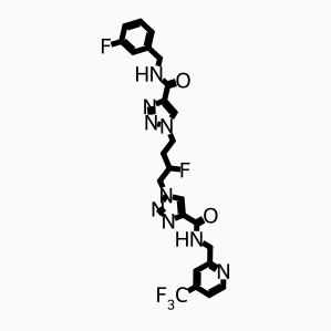 O=C(NCc1cccc(F)c1)c1cn(CCC(F)Cn2cc(C(=O)NCc3cc(C(F)(F)F)ccn3)nn2)nn1